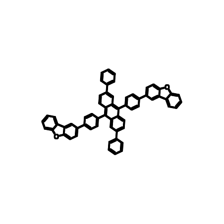 c1ccc(-c2ccc3c(-c4ccc(-c5ccc6oc7ccccc7c6c5)cc4)c4cc(-c5ccccc5)ccc4c(-c4ccc(-c5ccc6oc7ccccc7c6c5)cc4)c3c2)cc1